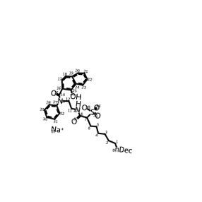 CCCCCCCCCCCCCCCCC(C(=O)NCCN(C(=O)c1ccc2ccccc2c1O)c1ccccc1)S(=O)(=O)[O-].[Na+]